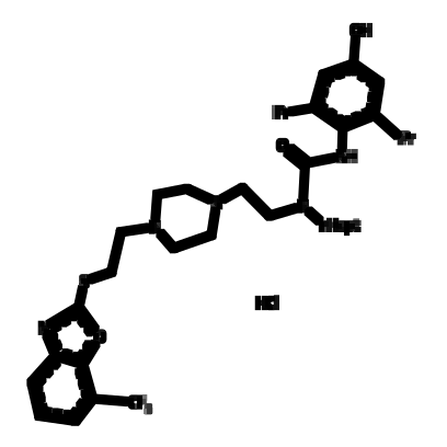 CCCCCCCN(CCN1CCN(CCSc2nc3cccc(C(F)(F)F)c3o2)CC1)C(=O)Nc1c(C(C)C)cc(O)cc1C(C)C.Cl